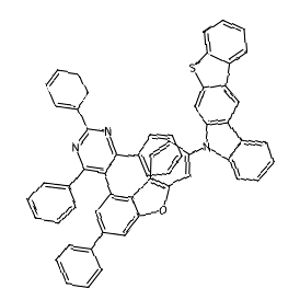 C1=CCCC(c2nc(-c3ccccc3)c(-c3cc(-c4ccccc4)cc4oc5cc(-n6c7ccccc7c7cc8c(cc76)sc6ccccc68)ccc5c34)c(-c3ccccc3)n2)=C1